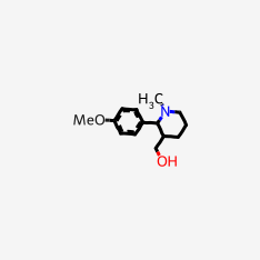 COc1ccc(C2C(CO)CCCN2C)cc1